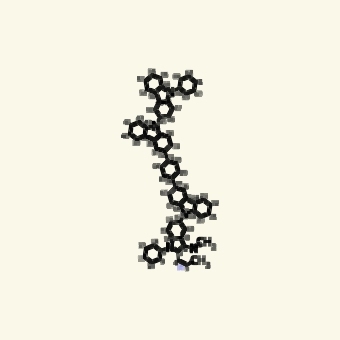 C=Nc1c(/C=C\C)n(-c2ccccc2)c2ccc(-n3c4ccccc4c4cc(-c5ccc(-c6ccc7c(c6)c6ccccc6n7-c6ccc7c(c6)c6ccccc6n7-c6ccccc6)cc5)ccc43)cc12